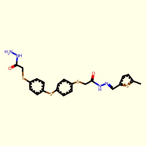 Cc1ccc(C=NNC(=O)CSc2ccc(Sc3ccc(SCC(=O)NN)cc3)cc2)s1